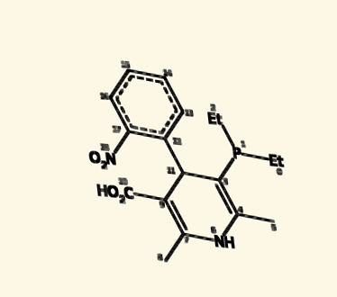 CCP(CC)C1=C(C)NC(C)=C(C(=O)O)C1c1ccccc1[N+](=O)[O-]